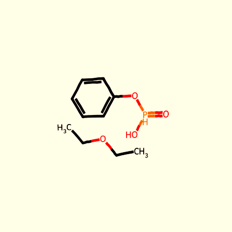 CCOCC.O=[PH](O)Oc1ccccc1